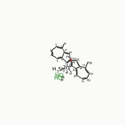 Cc1ccccc2[c]([Zr]([CH3])([CH3])(=[SiH2])[c]3c(C)cc4c(C)ccccc3-4)c(C)cc1-2.Cl.Cl